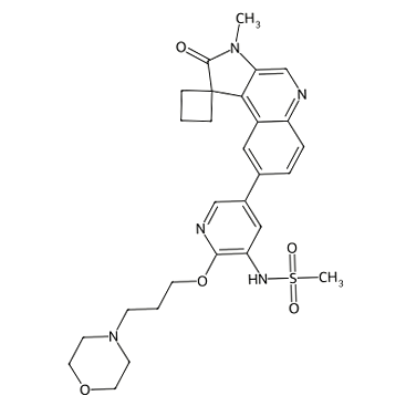 CN1C(=O)C2(CCC2)c2c1cnc1ccc(-c3cnc(OCCCN4CCOCC4)c(NS(C)(=O)=O)c3)cc21